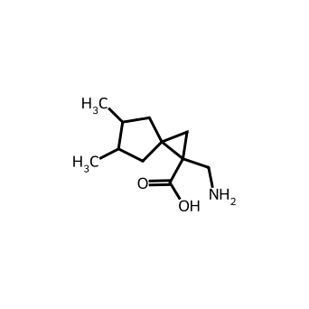 CC1CC2(CC1C)CC2(CN)C(=O)O